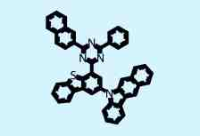 c1ccc(-c2nc(-c3ccc4ccccc4c3)nc(-c3cc(-n4c5ccccc5c5cc6ccccc6cc54)cc4c3sc3ccccc34)n2)cc1